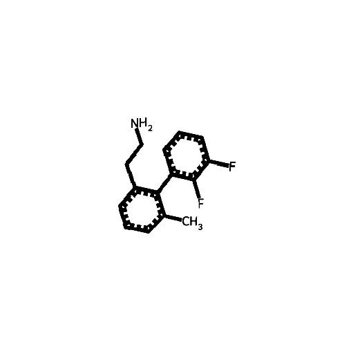 Cc1cccc(CCN)c1-c1cccc(F)c1F